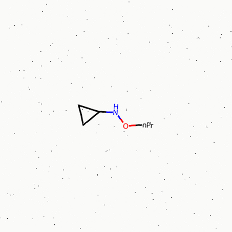 CCCONC1CC1